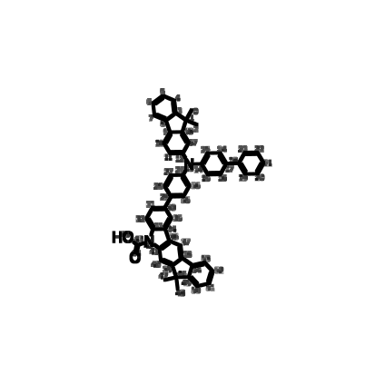 CC1(C)c2ccccc2-c2ccc(N(c3ccc(-c4ccccc4)cc3)c3ccc(-c4ccc5c(c4)c4cc6c(cc4n5C(=O)O)C(C)(C)c4ccccc4-6)cc3)cc21